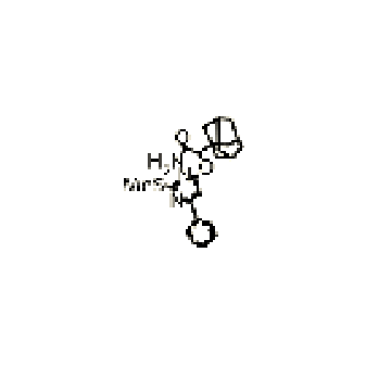 CSc1nc(OC(C(N)=O)C23CC4CC(CC(C4)C2)C3)cc(-c2ccccc2)n1